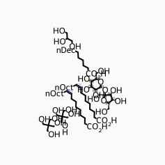 CCCCCCCC/C=C\CCCCCCCC(=O)O.CCCCCCCC/C=C\CCCCCCCC(=O)O.CCCCCCCCCCCCCCCC(=O)O.OCC(CO)(CO)CO.OCC(CO)(CO)CO.OCC(O)CO.OC[C@H]1O[C@@](CO)(O[C@H]2O[C@H](CO)[C@@H](O)[C@H](O)[C@H]2O)[C@@H](O)[C@@H]1O